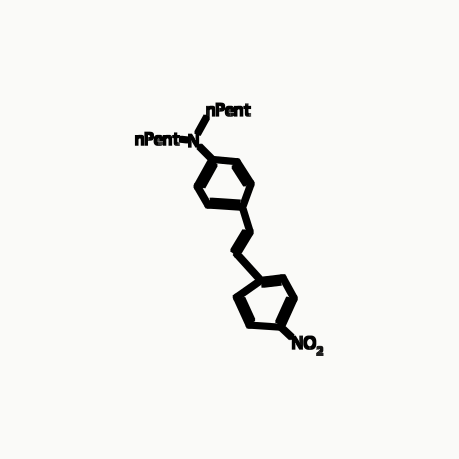 CCCCCN(CCCCC)c1ccc(C=Cc2ccc([N+](=O)[O-])cc2)cc1